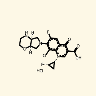 Cl.O=C(O)c1cn([C@@H]2C[C@@H]2F)c2c(Cl)c(N3C[C@@H]4NCCO[C@@H]4C3)c(F)cc2c1=O